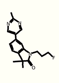 Cc1ncc(-c2ccc3c(c2)N(CCCF)C(=O)C3(C)C)cn1